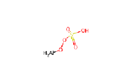 O=S(=O)(O)O[O][AlH2]